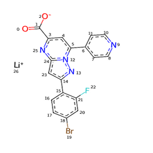 O=C([O-])c1cc(-c2ccncc2)n2nc(-c3ccc(Br)cc3F)cc2n1.[Li+]